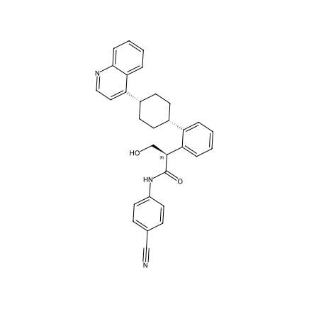 N#Cc1ccc(NC(=O)[C@@H](CO)c2ccccc2[C@H]2CC[C@@H](c3ccnc4ccccc43)CC2)cc1